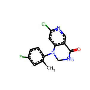 Cc1cc(F)ccc1N1CNC(=O)c2cnc(Cl)cc21